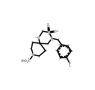 CCOC(=O)N1CCC2(CC1)CN(Cc1ccc(F)cc1)S(=O)(=O)CO2